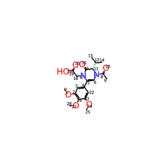 COc1cc(C2=CN(C(C)=O)[C@@H](C(C)C)C(=O)N2CC(=O)O)cc(OC)c1OC